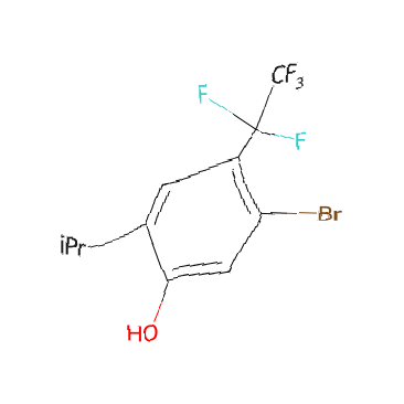 CC(C)c1cc(C(F)(F)C(F)(F)F)c(Br)cc1O